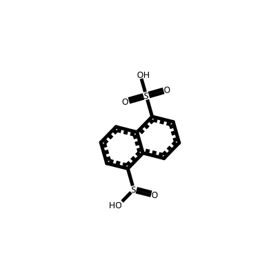 O=S(O)c1cccc2c(S(=O)(=O)O)cccc12